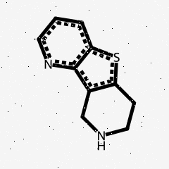 [c]1ccc2sc3c(c2n1)CNCC3